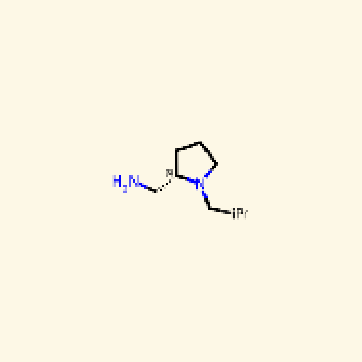 CC(C)CN1CCC[C@H]1CN